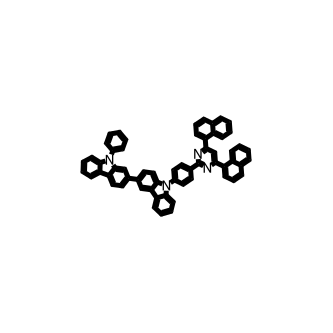 c1ccc(-n2c3ccccc3c3ccc(-c4ccc5c(c4)c4ccccc4n5-c4ccc(-c5nc(-c6cccc7ccccc67)cc(-c6cccc7ccccc67)n5)cc4)cc32)cc1